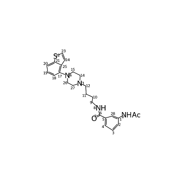 CC(=O)Nc1cccc(C(=O)NCCCCN2CCN(c3cccc4sccc34)CC2)c1